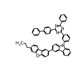 CCCc1ccc2c(c1)oc1ccc(-c3ccc4c(c3)c3ccccc3n4-c3cccc(-c4nc(-c5ccccc5)nc(-c5ccc(-c6ccccc6)cc5)n4)c3)cc12